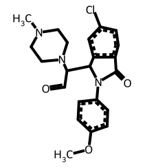 COc1ccc(N2C(=O)c3ccc(Cl)cc3C2C(C=O)N2CCN(C)CC2)cc1